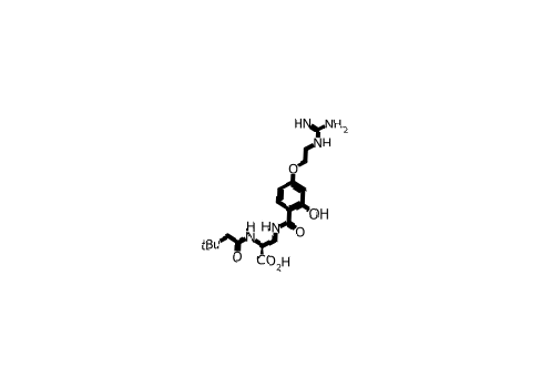 CC(C)(C)CC(=O)N[C@@H](CNC(=O)c1ccc(OCCNC(=N)N)cc1O)C(=O)O